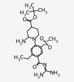 CCc1cc(N2CCC(C(=O)OC(C)(C)C)CC2N)c(S(C)(=O)=O)cc1C(=O)N=C(N)N